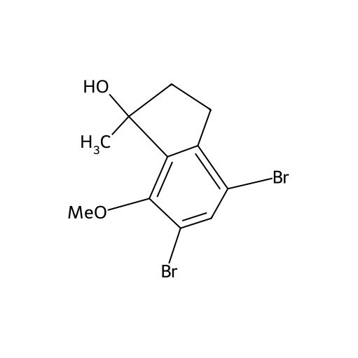 COc1c(Br)cc(Br)c2c1C(C)(O)CC2